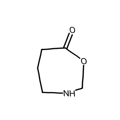 O=C1CCCNCO1